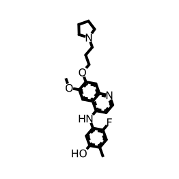 COc1cc2c(Nc3cc(O)c(C)cc3F)ccnc2cc1OCCCN1CCCC1